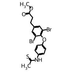 COC(=O)CCc1cc(Br)c(Oc2ccc(NC(C)=S)cc2)c(Br)c1